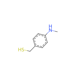 CNc1ccc(CS)cc1